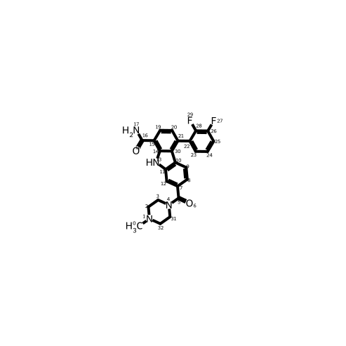 CN1CCN(C(=O)c2ccc3c(c2)[nH]c2c(C(N)=O)ccc(-c4cccc(F)c4F)c23)CC1